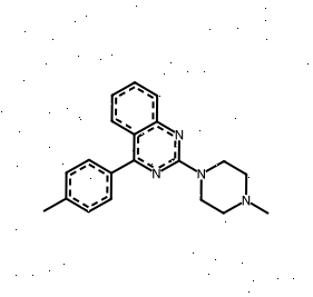 Cc1ccc(-c2nc(N3CCN(C)CC3)nc3ccccc23)cc1